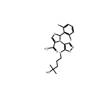 CC(C)(O)CCCOc1sncc1N1C(C(N)=O)=CSC1c1c(F)cccc1F